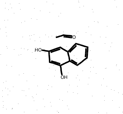 CC=O.Oc1cc(O)c2ccccc2c1